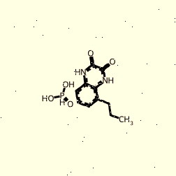 CCCc1cccc2[nH]c(=O)c(=O)[nH]c12.O=[PH](O)O